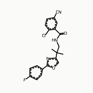 CC(C)(CNC(=O)c1cc(C#N)ccc1Cl)c1coc(-c2ccc(F)cc2)n1